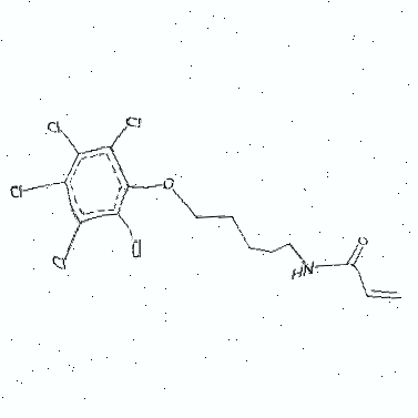 C=CC(=O)NCCCCOc1c(Cl)c(Cl)c(Cl)c(Cl)c1Cl